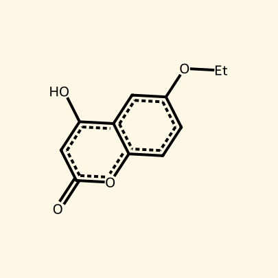 CCOc1ccc2oc(=O)cc(O)c2c1